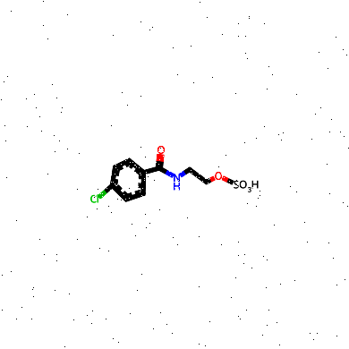 O=C(NCCOS(=O)(=O)O)c1ccc(Cl)cc1